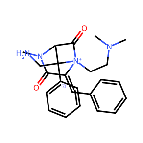 CN(C)CC[N+]12C(=O)C(N(C)C(=O)/C1=C/c1ccccc1)C2(CN)c1ccccc1